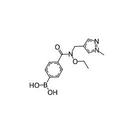 CCON(Cc1cnn(C)c1)C(=O)c1ccc(B(O)O)cc1